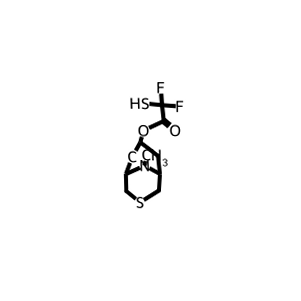 CN1C2CSCC1CC(OC(=O)C(F)(F)S)C2